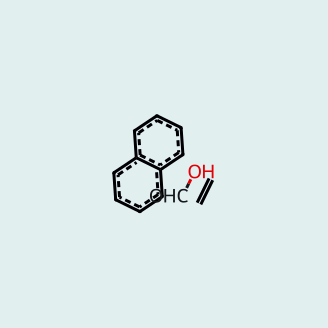 C=C.O=CO.c1ccc2ccccc2c1